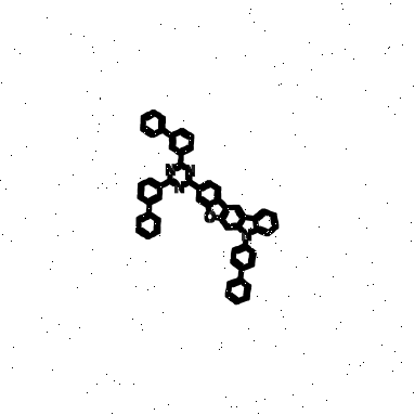 c1ccc(-c2ccc(-n3c4ccccc4c4cc5c(cc43)oc3cc(-c4nc(-c6cccc(-c7ccccc7)c6)nc(-c6cccc(-c7ccccc7)c6)n4)ccc35)cc2)cc1